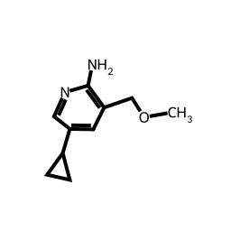 COCc1cc(C2CC2)cnc1N